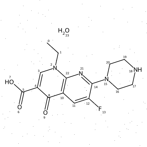 CCn1cc(C(=O)O)c(=O)c2cc(F)c(N3CCNCC3)nc21.O